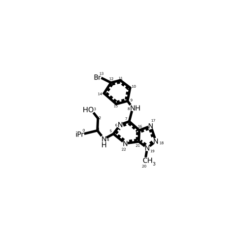 CC(C)C(CO)Nc1nc(Nc2ccc(Br)cc2)c2nnn(C)c2n1